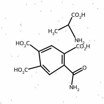 CC(N)C(=O)O.NC(=O)c1cc(C(=O)O)c(C(=O)O)cc1C(=O)O